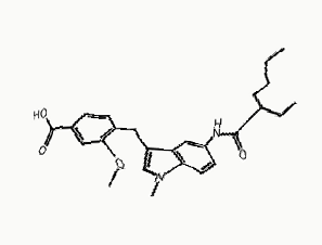 CCCCC(CC)C(=O)Nc1ccc2c(c1)c(Cc1ccc(C(=O)O)cc1OC)cn2C